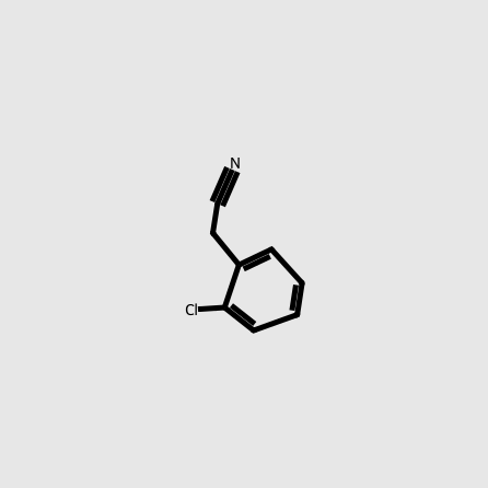 N#CCc1ccccc1Cl